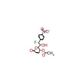 CC(=O)O[C@H]1C=CC(=O)O[C@H]1[C@@H](O)[C@H](F)c1ccc([N+](=O)[O-])cc1